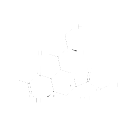 COC(=O)[C@@]1(O)C[C@@H](O)C(NC(C)=O)C(C(O)[C@H](O)CO)O1